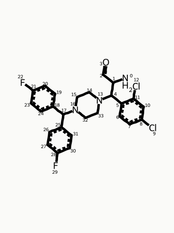 NC(C=O)C(c1ccc(Cl)cc1Cl)N1CCN(C(c2ccc(F)cc2)c2ccc(F)cc2)CC1